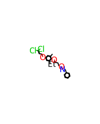 CCc1cc(OCC=C(Cl)Cl)cc(C)c1OCCCO/N=C/c1ccccc1